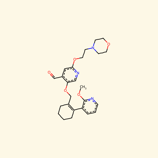 COc1ncccc1C1=C(COc2cnc(OCCN3CCOCC3)cc2C=O)CCCC1